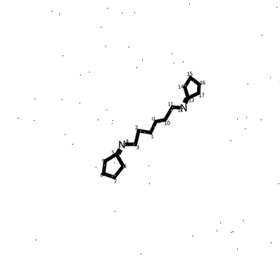 C(CCCN=C1CCCC1)CCN=C1CCCC1